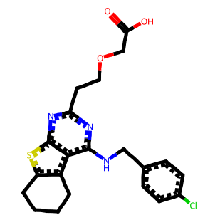 O=C(O)COCCc1nc(NCc2ccc(Cl)cc2)c2c3c(sc2n1)CCCC3